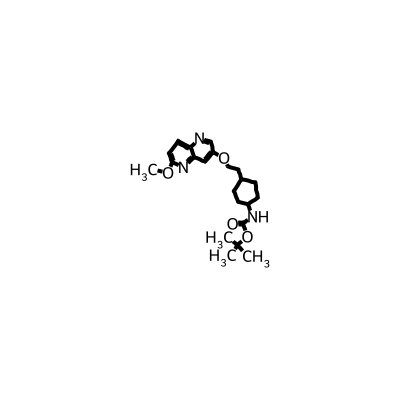 COc1ccc2ncc(OCCC3CCC(NC(=O)OC(C)(C)C)CC3)cc2n1